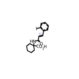 O=C(/C=C/c1ccccc1I)NC1(C(=O)O)CCCCC1